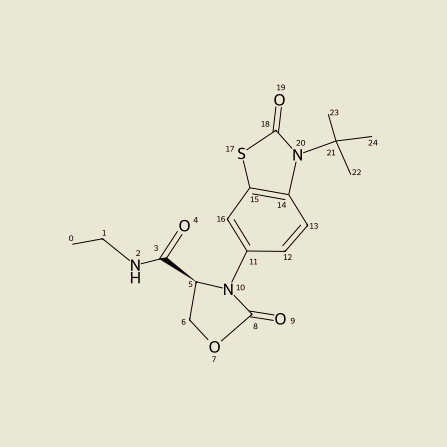 CCNC(=O)[C@@H]1COC(=O)N1c1ccc2c(c1)sc(=O)n2C(C)(C)C